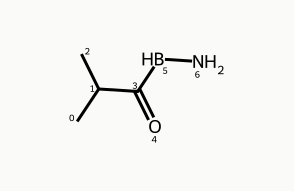 CC(C)C(=O)BN